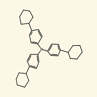 c1cc(N(c2ccc(C3CCCCC3)cc2)c2ccc(C3CCCCC3)cc2)ccc1C1CCCCC1